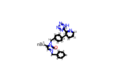 CCCCc1cn(Cc2ccccc2)c(=O)n1Cc1ccc(-c2cccnc2-c2nnn[nH]2)cc1